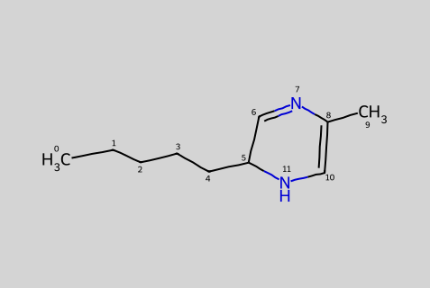 CCCCCC1C=NC(C)=CN1